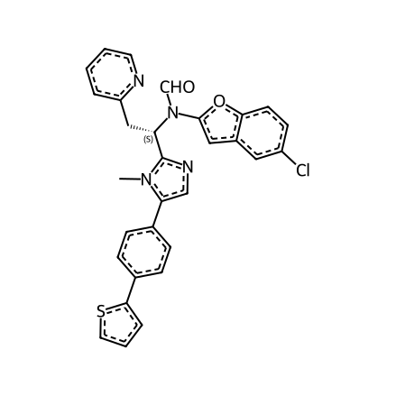 Cn1c(-c2ccc(-c3cccs3)cc2)cnc1[C@H](Cc1ccccn1)N(C=O)c1cc2cc(Cl)ccc2o1